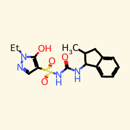 CCn1ncc(S(=O)(=O)NC(=O)NC2c3ccccc3CC2C)c1O